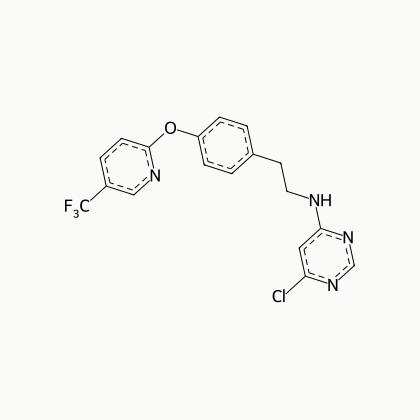 FC(F)(F)c1ccc(Oc2ccc(CCNc3cc(Cl)ncn3)cc2)nc1